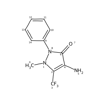 Cn1c(C(F)(F)F)c(N)c(=O)n1-c1ccccc1